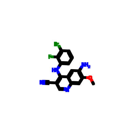 COc1cc2ncc(C#N)c(Nc3cccc(Br)c3F)c2cc1N